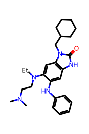 CCN(CCN(C)C)c1cc2c(cc1Nc1ccccc1)[nH]c(=O)n2CC1CCCCC1